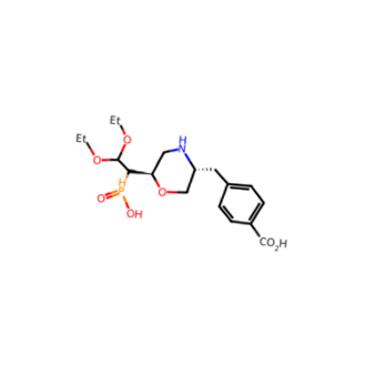 CCOC(OCC)C([C@H]1CN[C@H](Cc2ccc(C(=O)O)cc2)CO1)[PH](=O)O